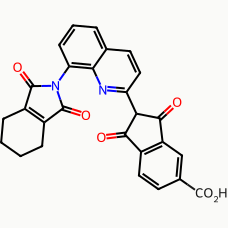 O=C(O)c1ccc2c(c1)C(=O)C(c1ccc3cccc(N4C(=O)C5=C(CCCC5)C4=O)c3n1)C2=O